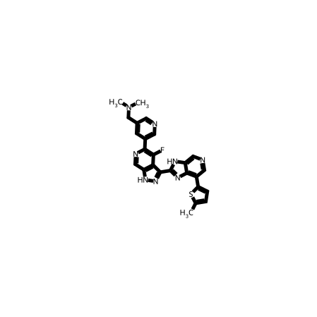 Cc1ccc(-c2cncc3[nH]c(-c4n[nH]c5cnc(-c6cncc(CN(C)C)c6)c(F)c45)nc23)s1